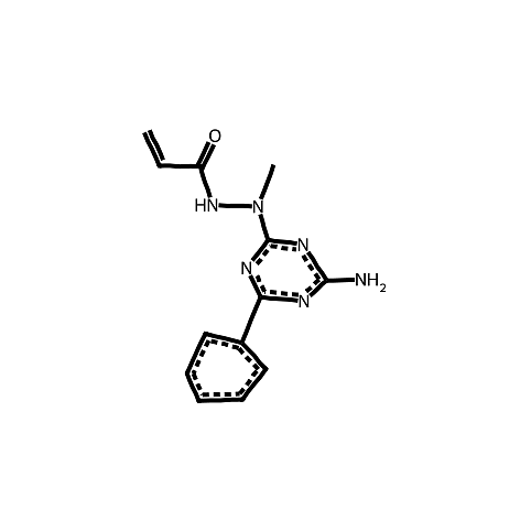 C=CC(=O)NN(C)c1nc(N)nc(-c2ccccc2)n1